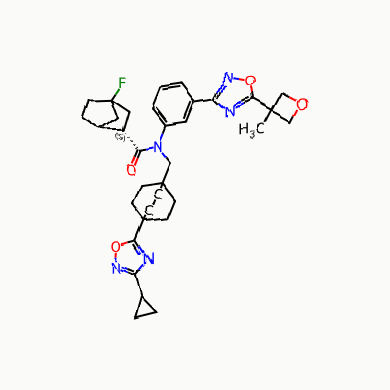 CC1(c2nc(-c3cccc(N(CC45CCC(c6nc(C7CC7)no6)(CC4)CC5)C(=O)[C@H]4CC5(F)CCC4C5)c3)no2)COC1